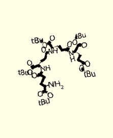 CC(C)(C)OC(=O)CC[C@H](NC(=O)CC[C@H](NC(=O)CC[C@H](NC(=O)CC[C@H](N)C(=O)OC(C)(C)C)C(=O)OC(C)(C)C)C(=O)OC(C)(C)C)C(=O)OC(C)(C)C